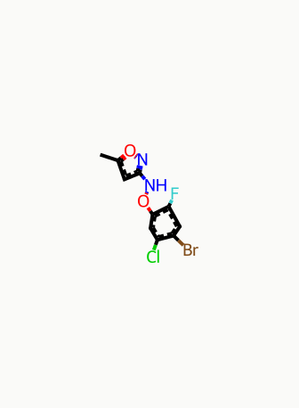 Cc1cc(NOc2cc(Cl)c(Br)cc2F)no1